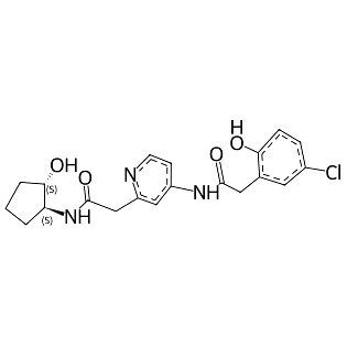 O=C(Cc1cc(Cl)ccc1O)Nc1ccnc(CC(=O)N[C@H]2CCC[C@@H]2O)c1